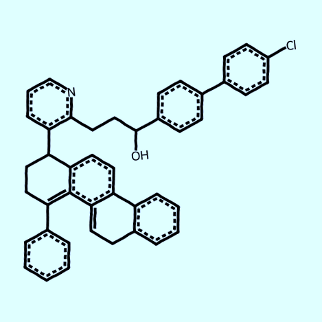 OC(CCc1ncccc1C1CCC(c2ccccc2)=c2c1ccc1c2=CCc2ccccc2-1)c1ccc(-c2ccc(Cl)cc2)cc1